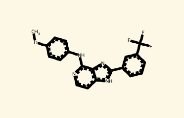 COc1ccc(Nc2nccc3[nH]c(-c4cccc(C(F)(F)F)c4)nc23)cc1